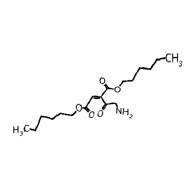 CCCCCCOC(=O)/C=C(\C(=O)CN)C(=O)OCCCCCC